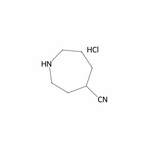 Cl.N#CC1CCCNCC1